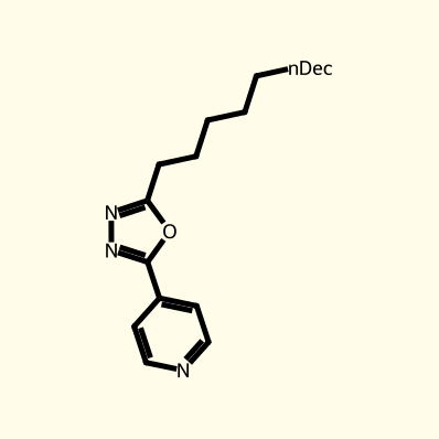 CCCCCCCCCCCCCCCc1nnc(-c2ccncc2)o1